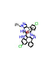 Cc1cnn(CC(C)C)c1NC(=O)c1[nH]c2cc(Cl)ccc2c1-c1c(-c2ccccc2)ncn1[C@@H](C)c1ccc(Cl)cc1